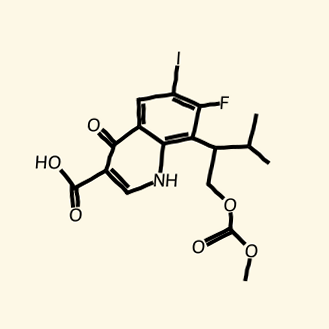 COC(=O)OCC(c1c(F)c(I)cc2c(=O)c(C(=O)O)c[nH]c12)C(C)C